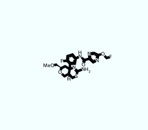 COC[C@H]1CC2(c3cc(NC(=O)c4cnc(OCF)cn4)ccc3F)N=C(N)SC[C@@H]2CO1